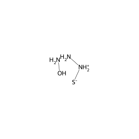 NO.N[NH2+][S-]